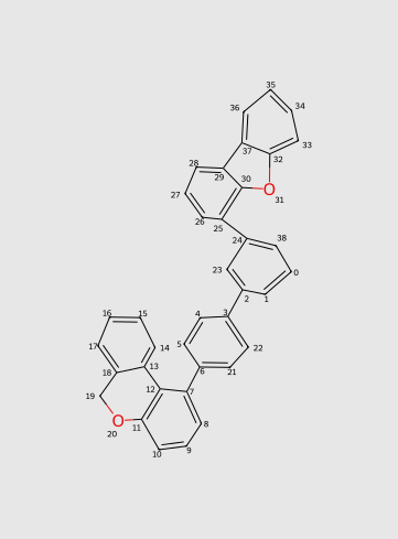 c1cc(-c2ccc(-c3cccc4c3-c3ccccc3CO4)cc2)cc(-c2cccc3c2oc2ccccc23)c1